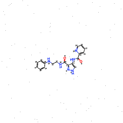 O=C(Nc1c[nH]nc1C(=O)NCCNc1ccccc1)c1ccccn1